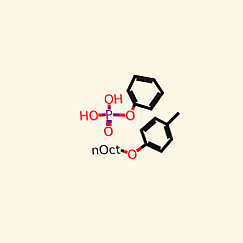 CCCCCCCCOc1ccc(C)cc1.O=P(O)(O)Oc1ccccc1